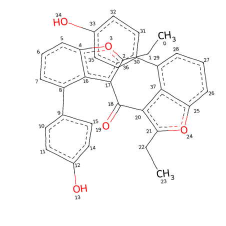 CCc1oc2cccc(-c3ccc(O)cc3)c2c1C(=O)c1c(CC)oc2cccc(-c3ccc(O)cc3)c12